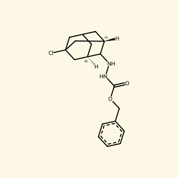 O=C(NNC1[C@@H]2CC3C[C@H]1CC(Cl)(C3)C2)OCc1ccccc1